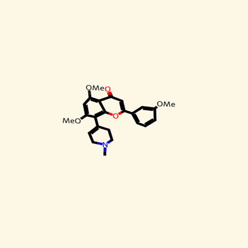 COc1cccc(-c2cc(=O)c3c(OC)cc(OC)c(C4=CCN(C)CC4)c3o2)c1